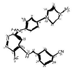 CC(=O)c1nnc(Nc2ccc(N3CCN(C(C)=O)CC3)cc2)cc1NCc1cccc(C#N)c1